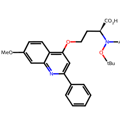 COc1ccc2c(OCC[C@@H](C(=O)O)N(OC(C)(C)C)C(C)=O)cc(-c3ccccc3)nc2c1